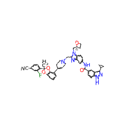 CC1(c2ccc(C#N)cc2F)Oc2cccc(C3=CCN(Cc4nc5cc(NC(=O)c6ccc7[nH]nc(C8CC8)c7c6)ccc5n4C[C@@H]4CCO4)CC3)c2O1